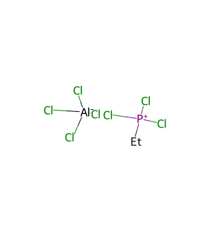 CC[P+](Cl)(Cl)Cl.[Cl][Al-]([Cl])([Cl])[Cl]